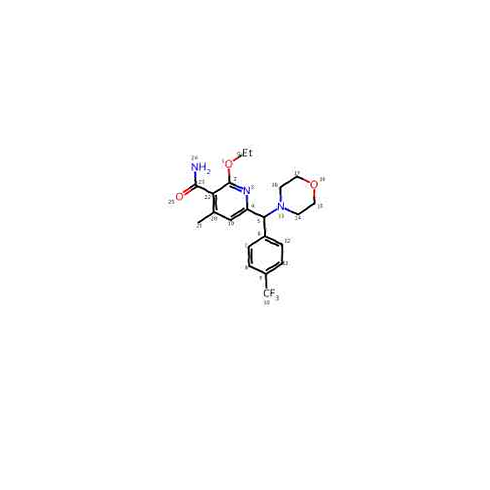 CCOc1nc(C(c2ccc(C(F)(F)F)cc2)N2CCOCC2)cc(C)c1C(N)=O